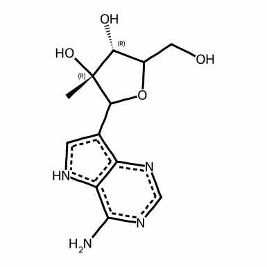 C[C@]1(O)C(c2c[nH]c3c(N)ncnc23)OC(CO)[C@H]1O